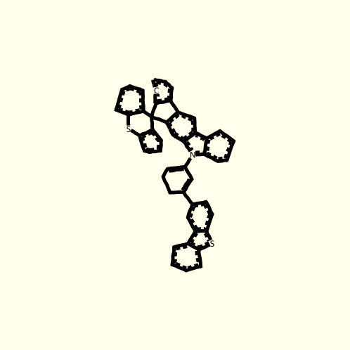 C1=C(c2ccc3sc4ccccc4c3c2)CCC=C1n1c2ccccc2c2cc3c(cc21)C1(c2ccccc2Sc2ccccc21)c1ccccc1-3